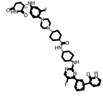 O=C1CC[C@H](Nc2ccc(N3CCN([C@H]4CC[C@H](C(=O)N[C@H]5CC[C@H](Nc6ncc(F)c(-c7cccc(-c8ccc[nH]c8=O)c7)n6)CC5)CC4)CC3)c(F)c2)C(=O)N1